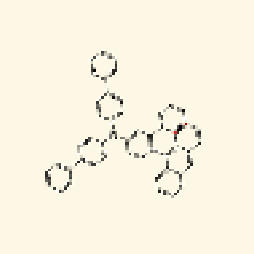 c1ccc(-c2ccc(N(c3ccc(-c4ccccc4)cc3)c3ccc(-c4c5ccccc5cc5ccccc45)c(-c4ccccc4)c3)cc2)cc1